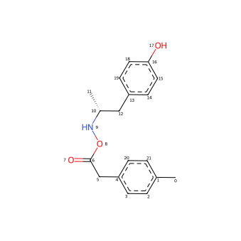 Cc1ccc(CC(=O)ON[C@H](C)Cc2ccc(O)cc2)cc1